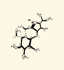 CC(C)[C@@H]1O[C@H](CO)C(OC2O[C@@H](CN)C(O)C(O)C2N)C1O